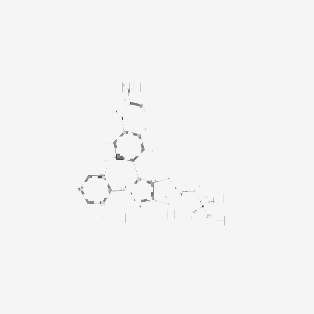 Cc1cccc(C)c1-n1nc2c(c1-c1ccc(NC(N)=O)cc1)CN(CC(C)(C)C)C2